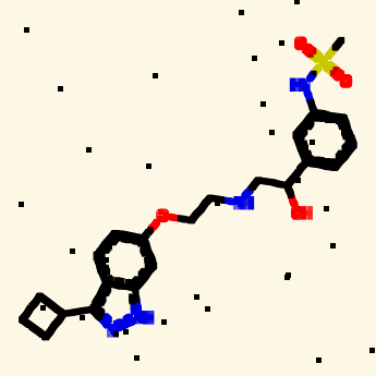 CS(=O)(=O)Nc1cccc(C(O)CNCCOc2ccc3c(C4CCC4)n[nH]c3c2)c1